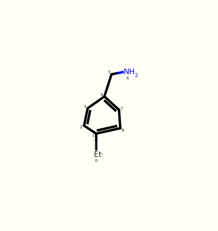 C[CH]c1ccc(CN)cc1